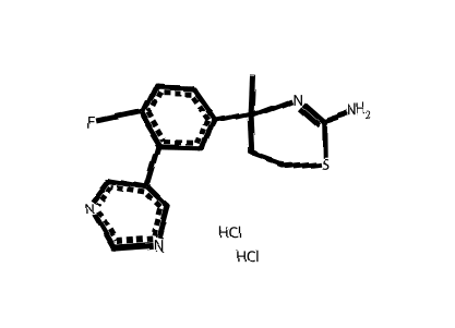 CC1(c2ccc(F)c(-c3cncnc3)c2)CCSC(N)=N1.Cl.Cl